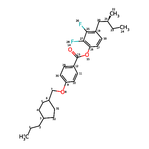 CCCC1CCC(COc2ccc(C(=O)Oc3ccc(C[C@@H](C)CC)c(F)c3F)cc2)CC1